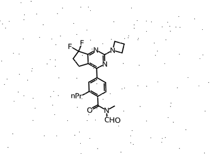 CCCc1cc(-c2nc(N3CCC3)nc3c2CCC3(F)F)ccc1C(=O)N(C)C=O